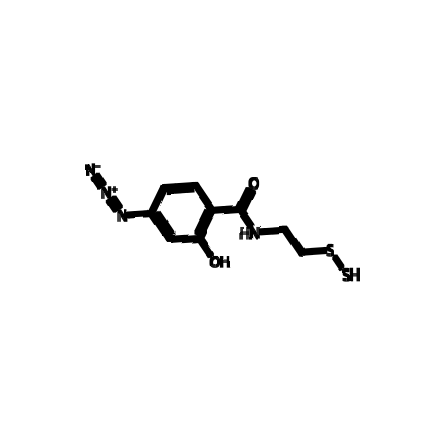 [N-]=[N+]=Nc1ccc(C(=O)NCCSS)c(O)c1